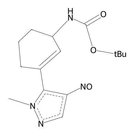 Cn1ncc(N=O)c1C1=CC(NC(=O)OC(C)(C)C)CCC1